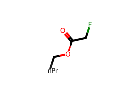 CCCCOC(=O)CF